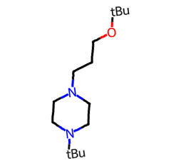 CC(C)(C)OCCCN1CCN(C(C)(C)C)CC1